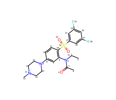 CCN(C(C)=O)c1cc(N2CCN(C)CC2)ccc1S(=O)(=O)c1cc(F)cc(F)c1